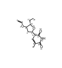 C=COC1C[C@H](n2cc(C)c(=O)[nH]c2=O)O[C@@H]1CC